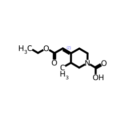 CCOC(=O)/C=C1/CCN(C(=O)O)CC1C